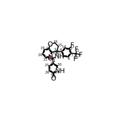 O=C(N[C@]1(c2ccc(C(F)(F)F)c(F)c2)CCOc2cccnc21)c1ccc(=O)[nH]c1